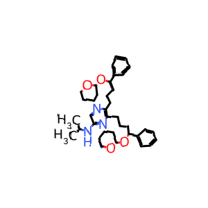 CC(C)Nc1cnc(CCCC(OC2CCCCO2)c2ccccc2)c(CCCC(OC2CCCCO2)c2ccccc2)n1